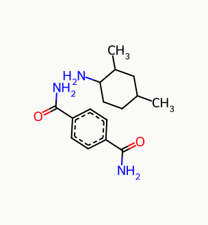 CC1CCC(N)C(C)C1.NC(=O)c1ccc(C(N)=O)cc1